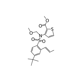 CC=Cc1cc(C(C)(C)C)ccc1S(=O)(=O)N(COC)c1ccsc1C(=O)OC